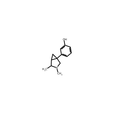 CC1C2CC2(c2cccc(O)c2)CN1C